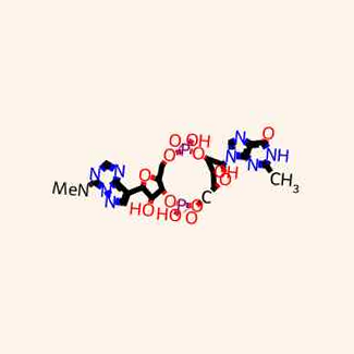 CNc1ncnc2c(C3OC4COP(=O)(O)OC5C(O)C(COP(=O)(O)OC4C3O)OC5n3cnc4c(=O)[nH]c(C)nc43)cnn12